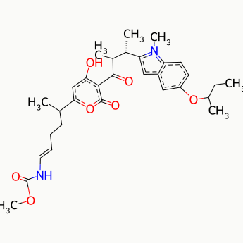 CCC(C)Oc1ccc2c(c1)cc([C@@H](C)C(C)C(=O)c1c(O)cc(C(C)CC/C=C/NC(=O)OC)oc1=O)n2C